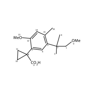 COCC(C)(C)c1cc(C2(C(=O)O)CC2)c(OC)cc1C